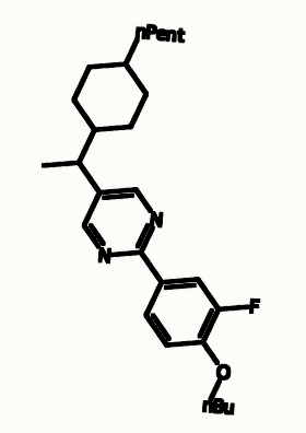 CCCCCC1CCC(C(C)c2cnc(-c3ccc(OCCCC)c(F)c3)nc2)CC1